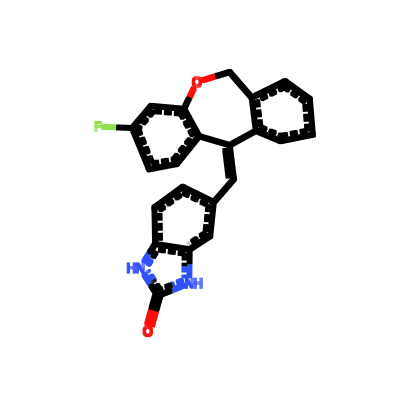 O=c1[nH]c2ccc(C=C3c4ccccc4COc4cc(F)ccc43)cc2[nH]1